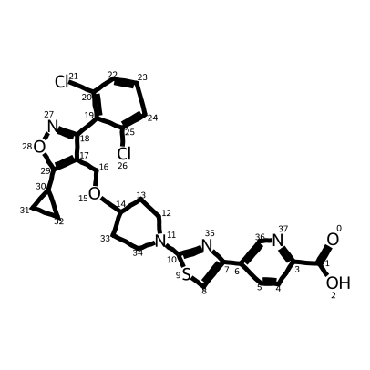 O=C(O)c1ccc(-c2csc(N3CCC(OCc4c(-c5c(Cl)cccc5Cl)noc4C4CC4)CC3)n2)cn1